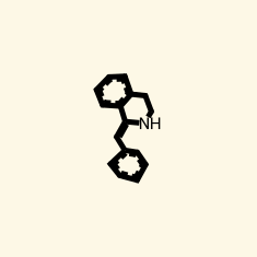 C(=C1NCCc2ccccc21)c1ccccc1